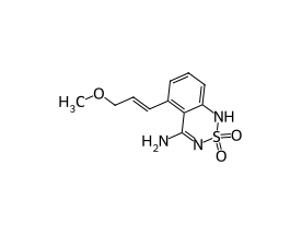 COCC=Cc1cccc2c1C(N)=NS(=O)(=O)N2